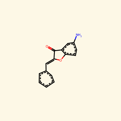 Nc1ccc2c(c1)C(=O)/C(=C/c1ccccc1)O2